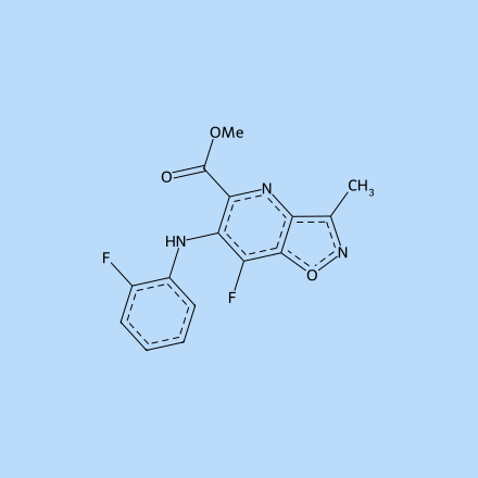 COC(=O)c1nc2c(C)noc2c(F)c1Nc1ccccc1F